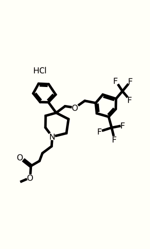 COC(=O)CCCN1CCC(COCc2cc(C(F)(F)F)cc(C(F)(F)F)c2)(c2ccccc2)CC1.Cl